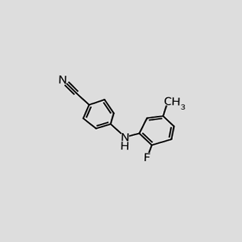 Cc1ccc(F)c(Nc2ccc(C#N)cc2)c1